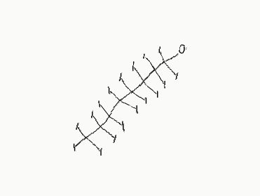 [O]C(I)(I)C(I)(I)C(I)(I)C(I)(I)C(I)(I)C(I)(I)C(I)(I)C(I)(I)I